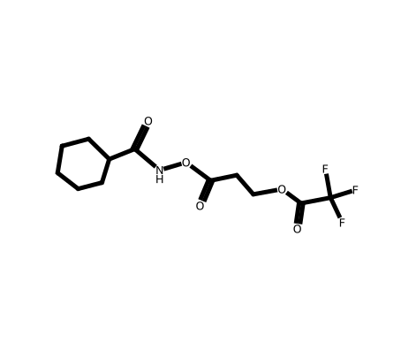 O=C(CCOC(=O)C(F)(F)F)ONC(=O)C1CCCCC1